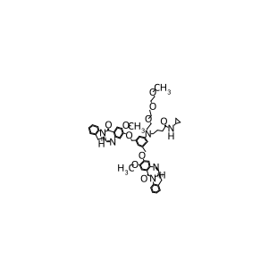 COCCOCCOCCN(CCCC(=O)NC1CC1)c1cc(COc2cc3c(cc2OC)C(=O)N2c4ccccc4C[C@H]2C=N3)cc(COc2cc3c(cc2OC)C(=O)N2c4ccccc4C[C@H]2C=N3)c1